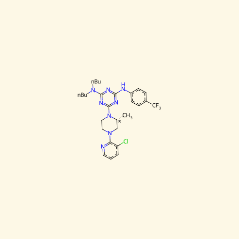 CCCCN(CCCC)c1nc(Nc2ccc(C(F)(F)F)cc2)nc(N2CCN(c3ncccc3Cl)C[C@H]2C)n1